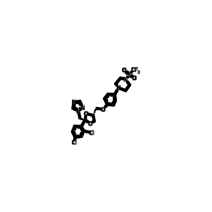 O=S(=O)(N1CCN(c2ccc(OC[C@@H]3CO[C@@](Cn4cncn4)(c4ccc(Cl)cc4Cl)O3)cc2)CC1)C(F)(F)F